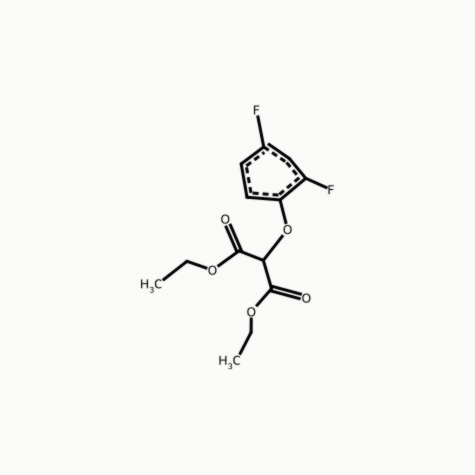 CCOC(=O)C(Oc1ccc(F)cc1F)C(=O)OCC